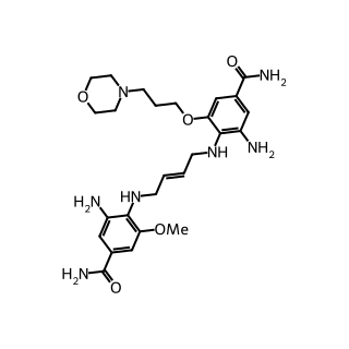 COc1cc(C(N)=O)cc(N)c1NC/C=C/CNc1c(N)cc(C(N)=O)cc1OCCCN1CCOCC1